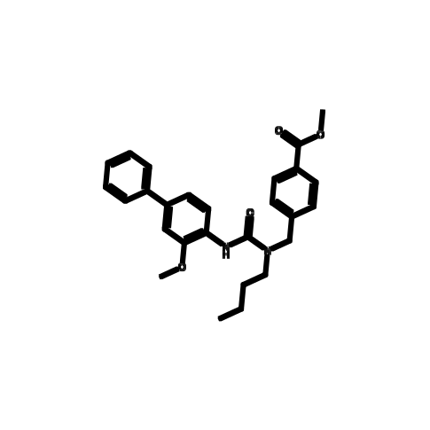 CCCCN(Cc1ccc(C(=O)OC)cc1)C(=O)Nc1ccc(-c2ccccc2)cc1OC